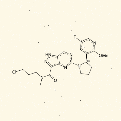 COc1ncc(F)cc1[C@H]1CCCN1c1ncc2[nH]nc(C(=O)N(C)CCCCl)c2n1